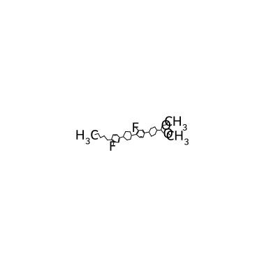 CCCCCc1ccc(C2CCC(c3ccc(C4CCC(C(COC)COC)CC4)cc3F)CC2)cc1F